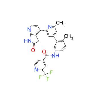 Cc1cc(-c2cc(NC(=O)c3ccnc(C(F)(F)F)c3)ccc2C)cc(-c2ccnc3c2CC(=O)N3)n1